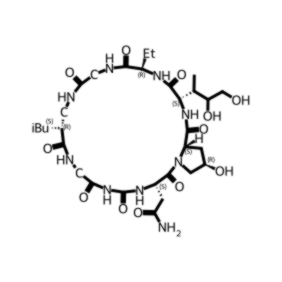 CC[C@H]1NC(=O)[C@H](C(C)C(O)CO)NC(=O)[C@@H]2C[C@@H](O)CN2C(=O)[C@H](CC(N)=O)NC(=O)NC(=O)CNC(=O)[C@H]([C@@H](C)CC)CNC(=O)CNC1=O